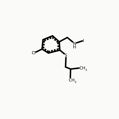 CC(C)CSc1cc(Cl)ccc1CNI